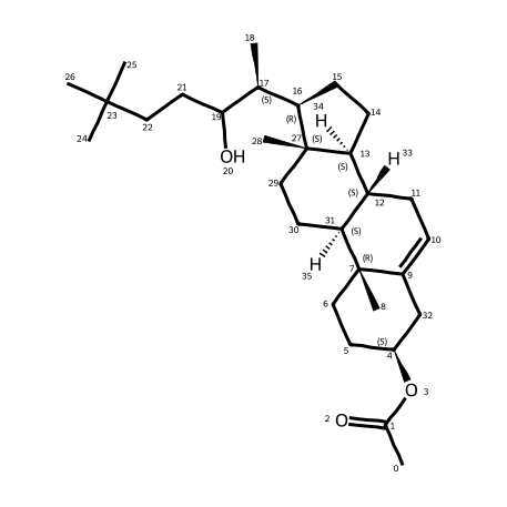 CC(=O)O[C@H]1CC[C@@]2(C)C(=CC[C@H]3[C@@H]4CC[C@H]([C@H](C)C(O)CCC(C)(C)C)[C@@]4(C)CC[C@@H]32)C1